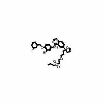 CCCS(=O)(=O)CCOCCCC1(c2ccc3ncnc(Nc4ccc(OCc5cccc(F)c5)c(Br)c4)c3c2)CC=CO1